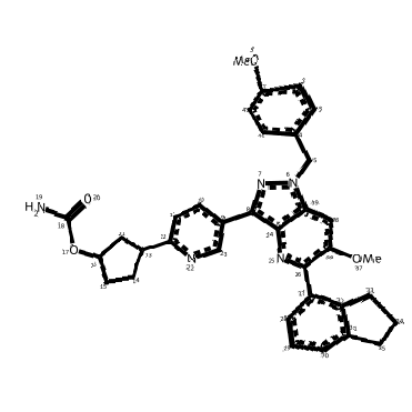 COc1ccc(Cn2nc(-c3ccc(C4CCC(OC(N)=O)C4)nc3)c3nc(-c4cccc5c4CCC5)c(OC)cc32)cc1